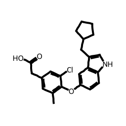 Cc1cc(CC(=O)O)cc(Cl)c1Oc1ccc2[nH]cc(CC3CCCC3)c2c1